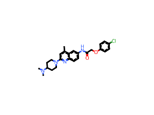 Cc1cc(N2CCC(N(C)C)CC2)nc2ccc(NC(=O)COc3ccc(Cl)cc3)cc12